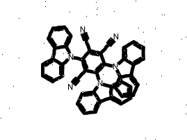 N#Cc1c(C#N)c(-n2c3ccccc3c3ccccc32)c(-n2c3ccccc3c3ccccc32)c(C#N)c1-n1c2ccccc2c2ccccc21